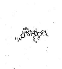 CCCCC(NC(=O)c1[nH]c2c(c1C)C(=O)CC(C)(C)C2)C(=O)Nc1ccc(N)cc1